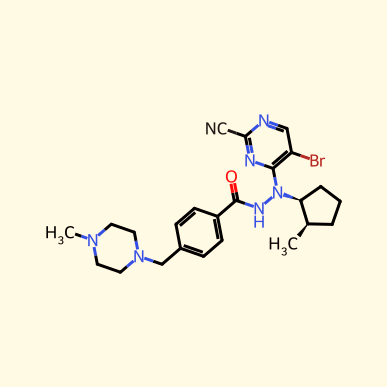 C[C@@H]1CCC[C@@H]1N(NC(=O)c1ccc(CN2CCN(C)CC2)cc1)c1nc(C#N)ncc1Br